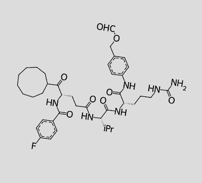 CC(C)[C@H](NC(=O)CC[C@H](NC(=O)c1ccc(F)cc1)C(=O)C1CCCCCCCC1)C(=O)N[C@@H](CCCNC(N)=O)C(=O)Nc1ccc(COC=O)cc1